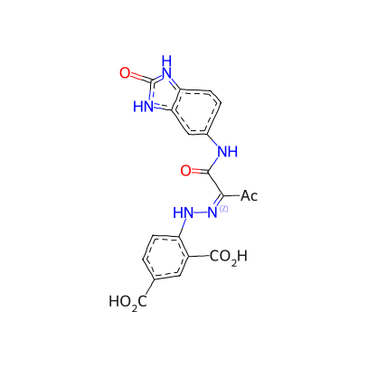 CC(=O)/C(=N/Nc1ccc(C(=O)O)cc1C(=O)O)C(=O)Nc1ccc2[nH]c(=O)[nH]c2c1